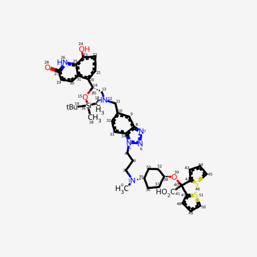 CN(CCCn1nnc2cc(CNC[C@H](O[Si](C)(C)C(C)(C)C)c3ccc(O)c4[nH]c(=O)ccc34)ccc21)[C@H]1CC[C@H](OC(C(=O)O)(c2cccs2)c2cccs2)CC1